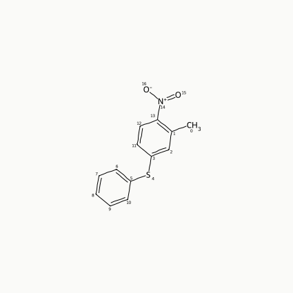 Cc1cc(Sc2ccccc2)ccc1[N+](=O)[O-]